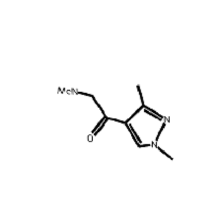 CNCC(=O)c1cn(C)nc1C